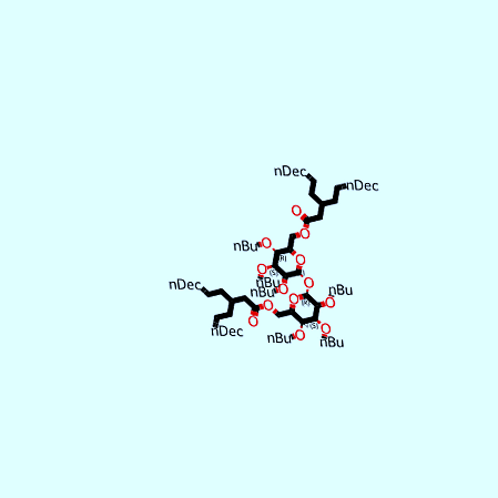 CCCCCCCCCCCCC(CCCCCCCCCCCC)CC(=O)OCC1O[C@H](O[C@H]2OC(COC(=O)CC(CCCCCCCCCCCC)CCCCCCCCCCCC)[C@@H](OCCCC)[C@H](OCCCC)C2OCCCC)C(OCCCC)[C@@H](OCCCC)[C@@H]1OCCCC